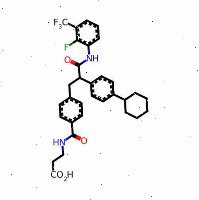 O=C(O)CCNC(=O)c1ccc(CC(C(=O)Nc2cccc(C(F)(F)F)c2F)c2ccc(C3CCCCC3)cc2)cc1